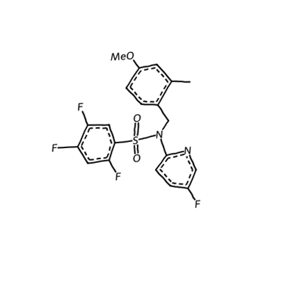 COc1ccc(CN(c2ccc(F)cn2)S(=O)(=O)c2cc(F)c(F)cc2F)c(C)c1